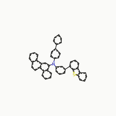 c1ccc(-c2ccc(N(c3cccc(-c4cccc5c4sc4ccccc45)c3)c3cc4c5ccccc5ccc4c4ccccc34)cc2)cc1